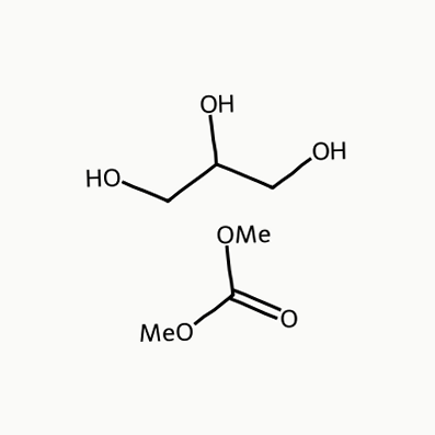 COC(=O)OC.OCC(O)CO